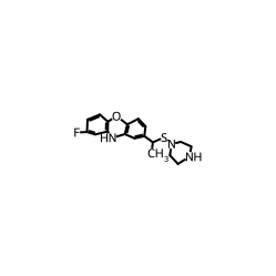 CC(SN1CCNCC1)c1ccc2c(c1)Nc1cc(F)ccc1O2